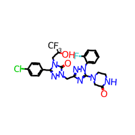 O=C1CN(c2nc(Cn3nc(-c4ccc(Cl)cc4)n(C[C@H](O)C(F)(F)F)c3=O)nn2-c2ccccc2F)CCN1